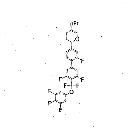 CCCC1=COC(c2ccc(-c3cc(F)c(C(F)(F)Oc4cc(F)c(F)c(F)c4)c(F)c3)c(F)c2)CC1